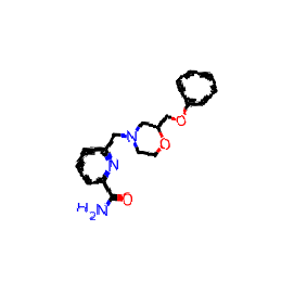 NC(=O)c1cccc(CN2CCOC(COc3ccccc3)C2)n1